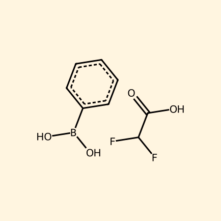 O=C(O)C(F)F.OB(O)c1ccccc1